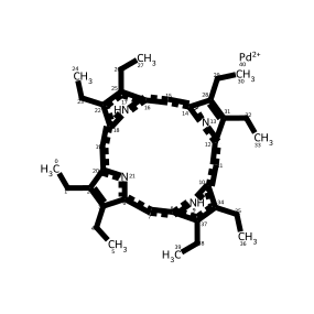 CCC1=C(CC)c2cc3[nH]c(cc4nc(cc5[nH]c(cc1n2)c(CC)c5CC)C(CC)=C4CC)c(CC)c3CC.[Pd+2]